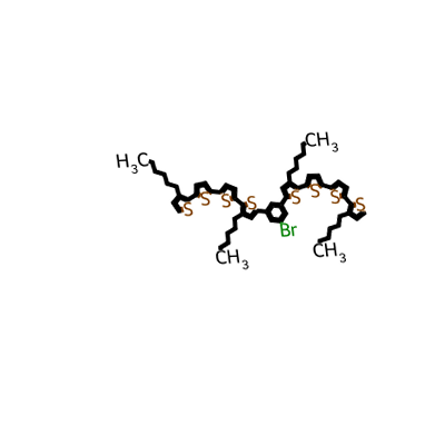 CCCCCCc1ccsc1-c1ccc(-c2ccc(-c3sc(-c4cc(Br)cc(-c5cc(CCCCCC)c(-c6ccc(-c7ccc(-c8sccc8CCCCCC)s7)s6)s5)c4)cc3CCCCCC)s2)s1